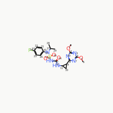 COc1nc(OC)nc(C2CC2NC(=O)NS(=O)(=O)N(c2ccc(F)cc2)C(C)C)n1